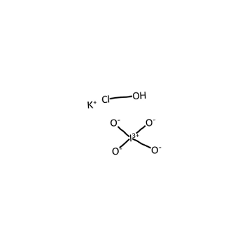 OCl.[K+].[O-][I+3]([O-])([O-])[O-]